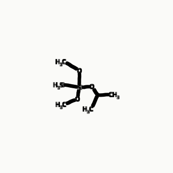 CO[Si]([SiH3])(OC)OC(C)C